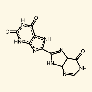 O=C1NC=NC2NC(c3nc4[nH]c(=O)[nH]c(=O)c4[nH]3)=NC12